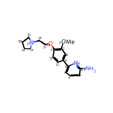 COc1cc(-c2cccc(N)n2)ccc1OCCN1CCCC1